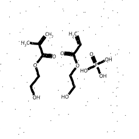 C=C(C)C(=O)OCCO.C=CC(=O)OCCO.O=P(O)(O)O